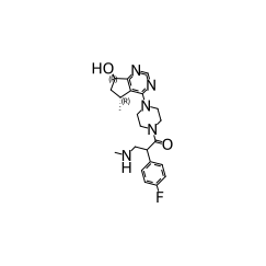 CNCC(C(=O)N1CCN(c2ncnc3c2[C@H](C)C[C@H]3O)CC1)c1ccc(F)cc1